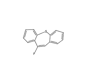 FC1=Cc2ccccc2Sc2ccccc21